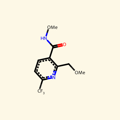 COCc1nc(C(F)(F)F)ccc1C(=O)NOC